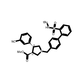 COC(=O)[C@@H]1CN(Cc2ccc(-c3ccccc3S(=O)(=O)NC(C)(C)C)cc2)C[C@H]1c1cccc(C#N)c1